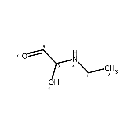 CCNC(O)C=O